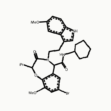 COc1ccc2[nH]cc(CCN3C(=O)C(C(C)C)Oc4c(OC)cc(Br)cc4C3C(=O)NC3CCCCC3)c2c1